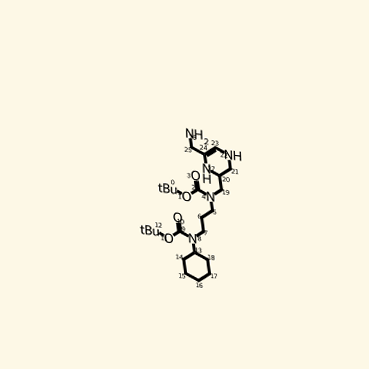 CC(C)(C)OC(=O)N(CCCN(C(=O)OC(C)(C)C)C1CCCCC1)CC1CNC=C(CN)N1